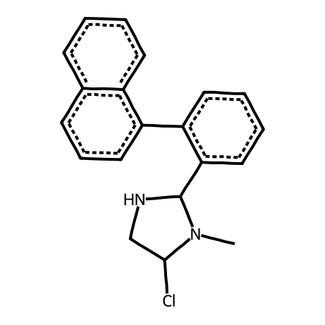 CN1C(Cl)CNC1c1ccccc1-c1cccc2ccccc12